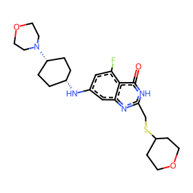 O=c1[nH]c(CSC2CCOCC2)nc2cc(N[C@H]3CC[C@@H](N4CCOCC4)CC3)cc(F)c12